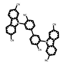 N#Cc1ccc2c3ccc(C#N)cc3n(-c3cc(-c4ccc(C#N)c(-n5c6cc(C#N)ccc6c6ccc(C#N)cc65)c4)ccc3C#N)c2c1